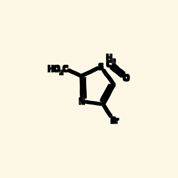 C=O.O=C(O)c1nc(Br)cs1